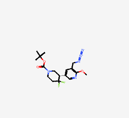 COc1ncc([C@H]2CN(C(=O)OC(C)(C)C)CCC2(F)F)cc1CN=[N+]=[N-]